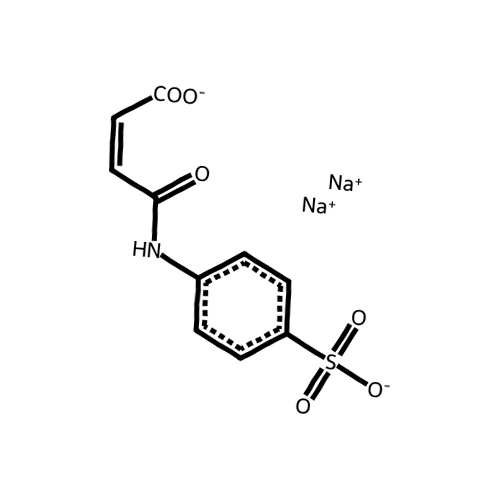 O=C([O-])/C=C\C(=O)Nc1ccc(S(=O)(=O)[O-])cc1.[Na+].[Na+]